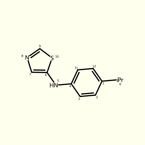 CC(C)c1ccc(Nc2cncs2)cc1